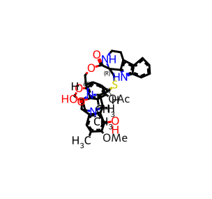 COc1c(C)cc2c(c1O)[C@H]1C3[C@@H]4SC[C@]5(NCCc6c5[nH]c5ccccc65)C(=O)OC[C@@H](c5c6c(c(C)c(OC(C)=O)c54)OCO6)N3C(O)(C2)CN1C